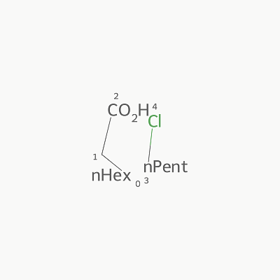 CCCCCCCC(=O)O.CCCCCCl